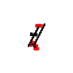 CCCCCCCCCCCCCCCCCC(=O)O.CCCCCCCCCCCCCCCCCC/C(=C\C(=O)O)C(=O)O.[NaH]